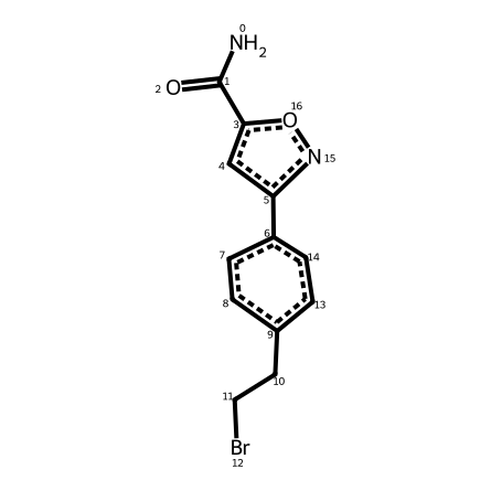 NC(=O)c1cc(-c2ccc(CCBr)cc2)no1